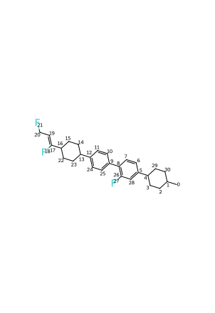 CC1CCC(c2ccc(-c3ccc(C4CCC(/C(F)=C/CF)CC4)cc3)c(F)c2)CC1